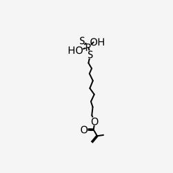 C=C(C)C(=O)OCCCCCCCCCSP(O)(O)=S